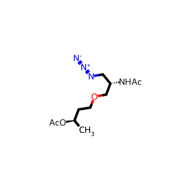 CC(=O)N[C@@H](CN=[N+]=[N-])COCC[C@@H](C)OC(C)=O